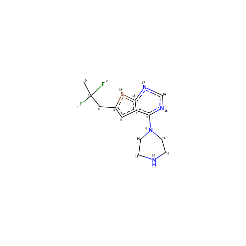 CC(F)(F)Cc1cc2c(N3CCNCC3)ncnc2s1